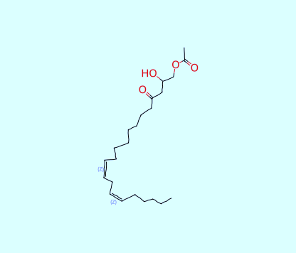 CCCCC/C=C\C/C=C\CCCCCCCC(=O)CC(O)COC(C)=O